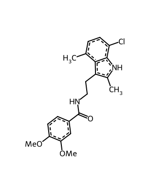 COc1ccc(C(=O)NCCc2c(C)[nH]c3c(Cl)ccc(C)c23)cc1OC